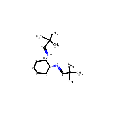 CC(C)(C)C=N[C@H]1CCCC[C@@H]1N=CC(C)(C)C